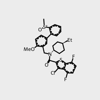 CC[C@H]1CC[C@H](N(Cc2cc(-c3ccccc3[S+](C)[O-])ccc2OC)C(=O)c2sc3c(F)ccc(F)c3c2Cl)CC1